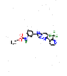 CCOC(=O)N(F)c1cccc(-c2cn3nc(-c4cccnc4C(F)(F)F)ccc3n2)c1